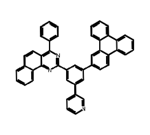 c1ccc(-c2nc(-c3cc(-c4cccnc4)cc(-c4ccc5c6ccccc6c6ccccc6c5c4)c3)nc3c2ccc2ccccc23)cc1